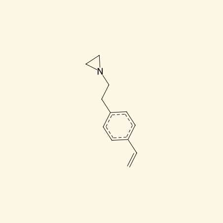 C=Cc1ccc(CCN2CC2)cc1